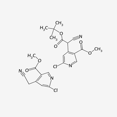 COC(=O)c1cnc(Cl)cc1C(C#N)C(=O)OC(C)(C)C.COC(=O)c1cnc(Cl)cc1CC#N